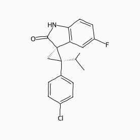 CC(C)[C@]1(c2ccc(Cl)cc2)C[C@@]12C(=O)Nc1ccc(F)cc12